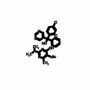 CCCCc1c(C)nc(N(C)C)nc1O.OC(c1ccccc1)(c1cncnc1)c1ccc(Cl)cc1Cl